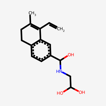 C=CC1=C(C)CCc2ccc(C(O)NCC(O)O)cc21